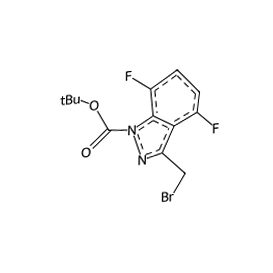 CC(C)(C)OC(=O)n1nc(CBr)c2c(F)ccc(F)c21